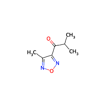 Cc1nonc1C(=O)C(C)C